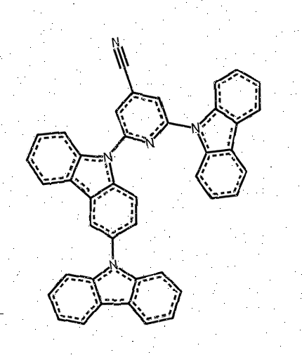 N#Cc1cc(-n2c3ccccc3c3ccccc32)nc(-n2c3ccccc3c3cc(-n4c5ccccc5c5ccccc54)ccc32)c1